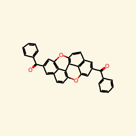 O=C(c1ccccc1)c1cc2ccc3oc4cc(C(=O)c5ccccc5)cc5ccc6oc(c1)c2c3-c6c54